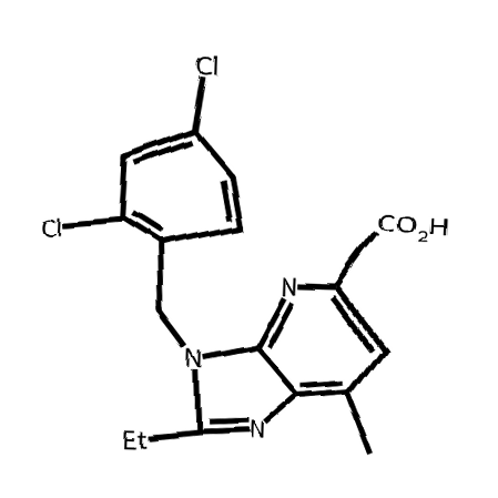 CCc1nc2c(C)cc(C(=O)O)nc2n1Cc1ccc(Cl)cc1Cl